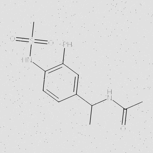 CC(=O)NC(C)c1ccc(NS(C)(=O)=O)c(P)c1